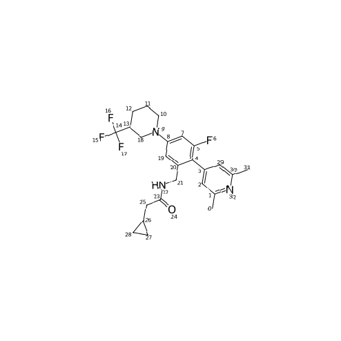 Cc1cc(-c2c(F)cc(N3CCCC(C(F)(F)F)C3)cc2CNC(=O)CC2CC2)cc(C)n1